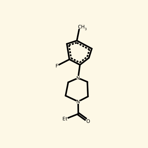 CCC(=O)N1CCN(c2ccc(C)cc2F)CC1